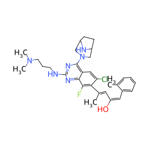 C/C(=C\C(O)=C/c1ccccc1C)c1c(Cl)cc2c(N3CC4CCC(C3)N4)nc(NCCCN(C)C)nc2c1F